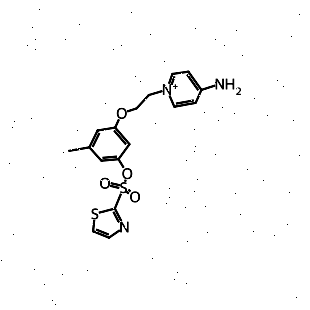 Cc1cc(OCC[n+]2ccc(N)cc2)cc(OS(=O)(=O)c2nccs2)c1